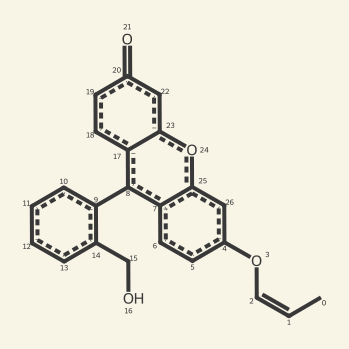 C/C=C\Oc1ccc2c(-c3ccccc3CO)c3ccc(=O)cc-3oc2c1